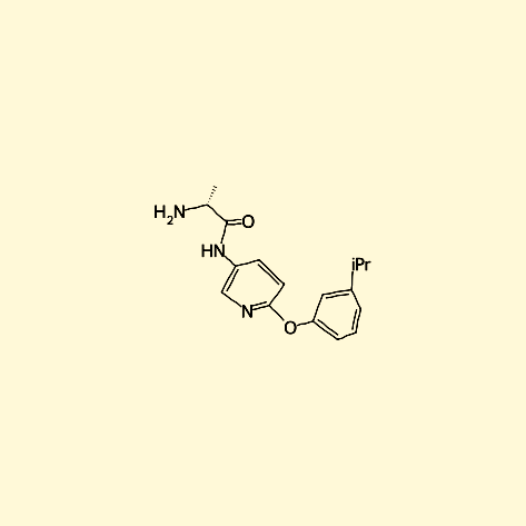 CC(C)c1cccc(Oc2ccc(NC(=O)[C@@H](C)N)cn2)c1